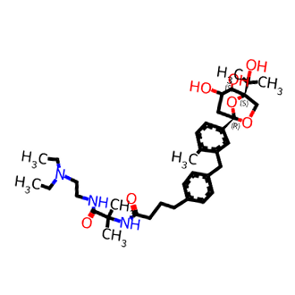 CCN(CC)CCNC(=O)C(C)(C)NC(=O)CCCc1ccc(Cc2cc([C@]34CC(O)[C@H](O)[C@](C(C)(C)O)(CO3)O4)ccc2C)cc1